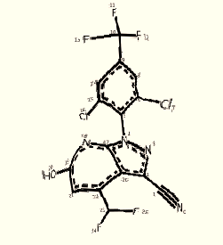 N#Cc1nn(-c2c(Cl)cc(C(F)(F)F)cc2Cl)c2nc(O)cc(C(F)F)c12